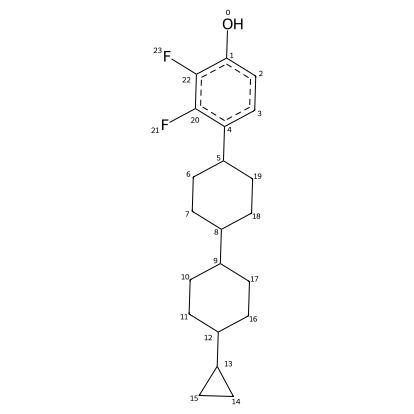 Oc1ccc(C2CCC(C3CCC(C4CC4)CC3)CC2)c(F)c1F